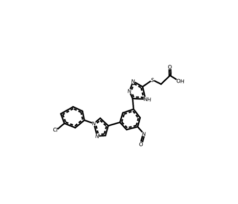 O=Nc1cc(-c2cnn(-c3cccc(Cl)c3)c2)cc(-c2nnc(SCC(=O)O)[nH]2)c1